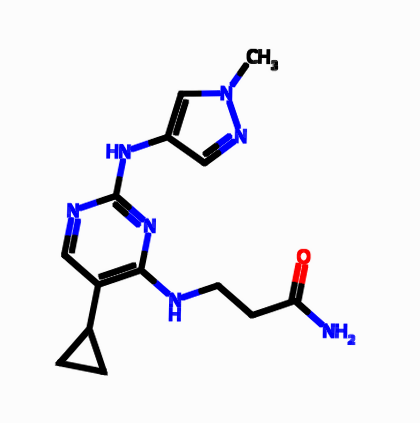 Cn1cc(Nc2ncc(C3CC3)c(NCCC(N)=O)n2)cn1